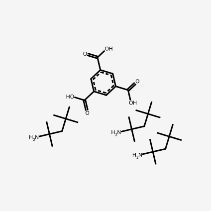 CC(C)(C)CC(C)(C)N.CC(C)(C)CC(C)(C)N.CC(C)(C)CC(C)(C)N.O=C(O)c1cc(C(=O)O)cc(C(=O)O)c1